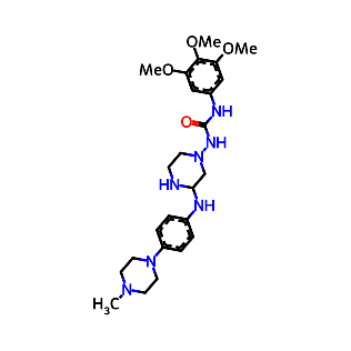 COc1cc(NC(=O)NN2CCNC(Nc3ccc(N4CCN(C)CC4)cc3)C2)cc(OC)c1OC